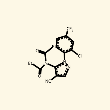 CCC(=O)N(C(=O)CC)c1c(C#N)cnn1-c1ccc(C(F)(F)F)cc1Cl